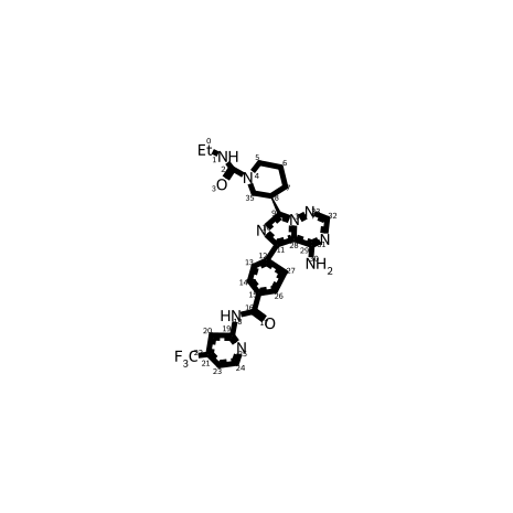 CCNC(=O)N1CCC[C@@H](c2nc(-c3ccc(C(=O)Nc4cc(C(F)(F)F)ccn4)cc3)c3c(N)ncnn23)C1